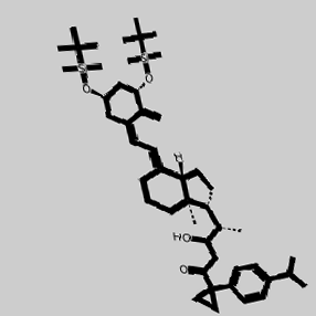 C=C1/C(=C\C=C2/CCC[C@]3(C)[C@@H]([C@H](C)C(O)CC(=O)C4(c5ccc(C(C)C)cc5)CC4)CC[C@@H]23)C[C@@H](O[Si](C)(C)C(C)(C)C)C[C@@H]1O[Si](C)(C)C(C)(C)C